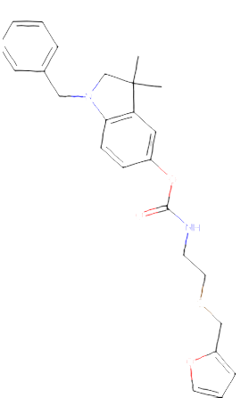 CC1(C)CN(Cc2ccccc2)c2ccc(OC(=O)NCCSCc3ccco3)cc21